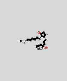 C#CCC(O)(CCCC)CCC[C@H]1CCC(=O)[C@@H]1CCC=CC=CC(=O)O